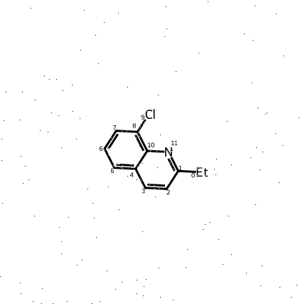 CCc1ccc2cccc(Cl)c2n1